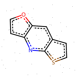 c1cc2nc3sccc3cc2o1